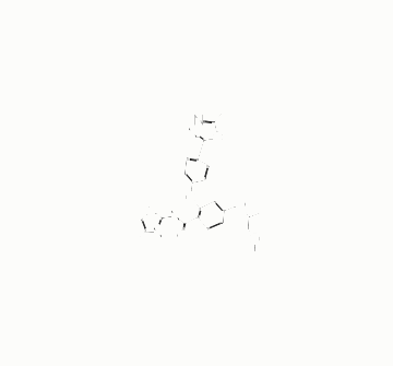 COCC(C)Oc1ccc(C(=O)Nc2nc(F)cs2)c(Oc2ccc(-c3nnc(C)o3)cc2)c1